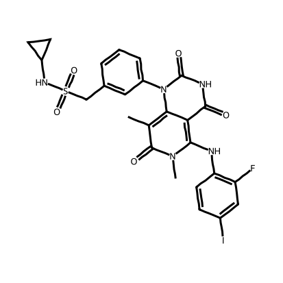 Cc1c(=O)n(C)c(Nc2ccc(I)cc2F)c2c(=O)[nH]c(=O)n(-c3cccc(CS(=O)(=O)NC4CC4)c3)c12